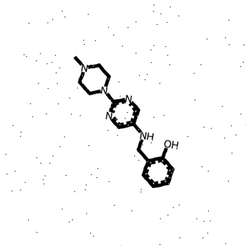 CN1CCN(c2ncc(NCc3ccccc3O)cn2)CC1